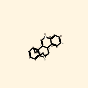 C1=C2c3c4cccc3OC(CCCCC4)C2c2ccccc2O1